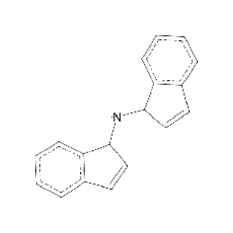 C1=CC([N]C2C=Cc3ccccc32)c2ccccc21